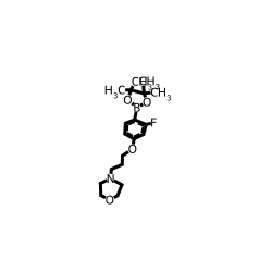 CC1(C)OB(c2ccc(OCCCN3CCOCC3)cc2F)OC1(C)C